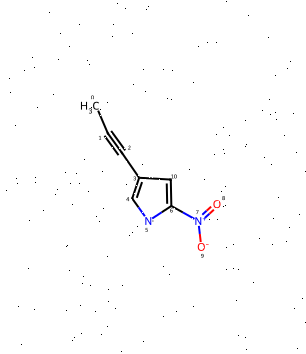 CC#CC1=C[N]C([N+](=O)[O-])=C1